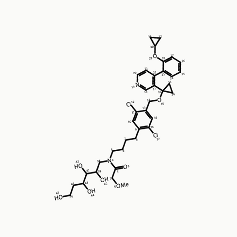 COCC(=O)N(CCCCc1cc(Cl)c(COC2(c3cnccc3-c3ccccc3OC3CC3)CC2)cc1Cl)CC(O)C(O)C(O)CCO